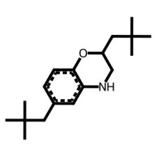 CC(C)(C)Cc1ccc2c(c1)NCC(CC(C)(C)C)O2